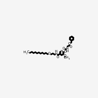 CCCCCCCCCCCCOCCCNC(=O)c1cnc(OC(=O)NCC(=O)OCc2ccccc2)c(OC)c1